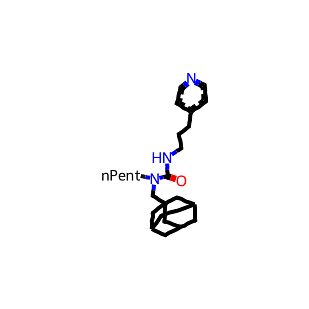 CCCCCN(CC12CC3CC(CC(C3)C1)C2)C(=O)NCCCc1ccncc1